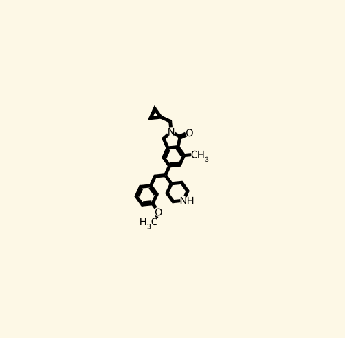 COc1cccc(CC(c2cc(C)c3c(c2)CN(CC2CC2)C3=O)C2CCNCC2)c1